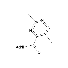 CC(=O)NC(=O)c1nc(C)ncc1C